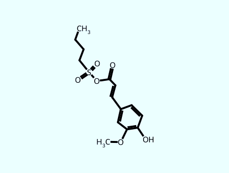 CCCCS(=O)(=O)OC(=O)C=Cc1ccc(O)c(OC)c1